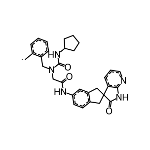 [CH2]c1ccccc1CN(CC(=O)Nc1ccc2c(c1)CC1(C2)C(=O)Nc2ncccc21)C(=O)NC1CCCC1